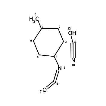 CC1CCC(N=C=O)CC1.N#CO